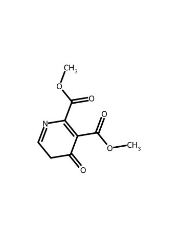 COC(=O)C1=C(C(=O)OC)C(=O)CC=N1